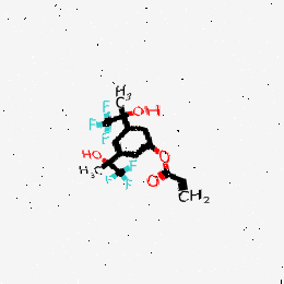 C=CC(=O)OC1CC(C(C)(O)C(F)(F)F)CC(C(C)(O)C(F)(F)F)C1